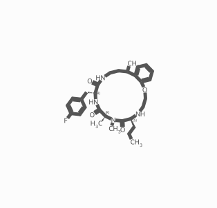 CCC[C@@H]1NCCOc2ccccc2C(C)CCNC(=O)[C@@H](Cc2ccc(F)cc2)NC(=O)[C@@H](C)N(C)C1=O